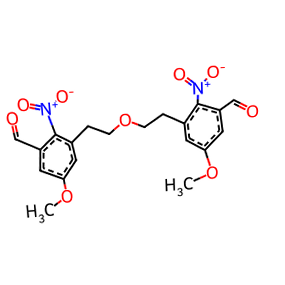 COc1cc(C=O)c([N+](=O)[O-])c(CCOCCc2cc(OC)cc(C=O)c2[N+](=O)[O-])c1